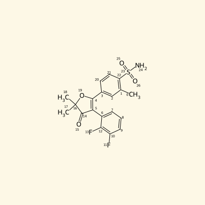 Cc1cc(C2=C(c3cccc(F)c3F)C(=O)C(C)(C)O2)ccc1S(N)(=O)=O